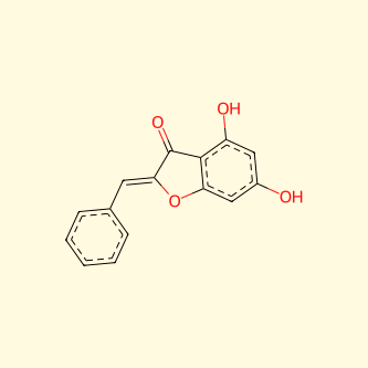 O=C1/C(=C/c2ccccc2)Oc2cc(O)cc(O)c21